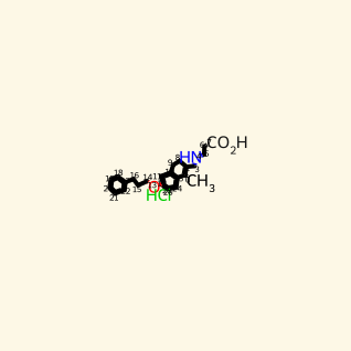 CC1=C(CNCCC(=O)O)CCc2cc(OCCCc3ccccc3)ccc21.Cl